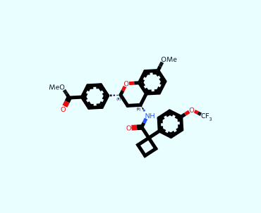 COC(=O)c1ccc([C@H]2C[C@@H](NC(=O)C3(c4ccc(OC(F)(F)F)cc4)CCC3)c3ccc(OC)cc3O2)cc1